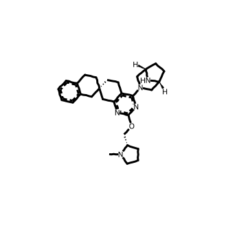 CN1CCC[C@H]1COc1nc2c(c(N3C[C@H]4CC[C@@H](C3)N4)n1)CC[C@]1(CCc3ccccc3C1)C2